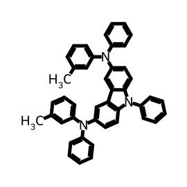 Cc1cccc(N(c2ccccc2)c2ccc3c(c2)c2cc(N(c4ccccc4)c4cccc(C)c4)ccc2n3-c2ccccc2)c1